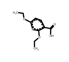 CCOc1ccc(C(=O)O)c(OCC)n1